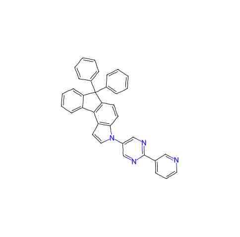 c1ccc(C2(c3ccccc3)c3ccccc3-c3c2ccc2c3ccn2-c2cnc(-c3cccnc3)nc2)cc1